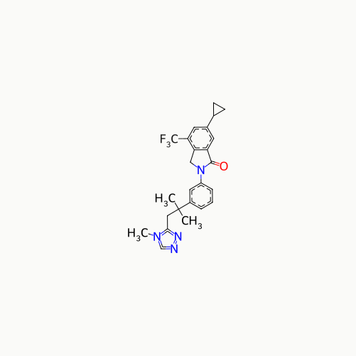 Cn1cnnc1CC(C)(C)c1cccc(N2Cc3c(cc(C4CC4)cc3C(F)(F)F)C2=O)c1